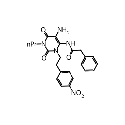 CCCn1c(=O)c(N)c(NC(=O)Cc2ccccc2)n(CCc2ccc([N+](=O)[O-])cc2)c1=O